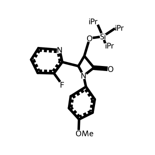 COc1ccc(N2C(=O)C(O[Si](C(C)C)(C(C)C)C(C)C)C2c2ncccc2F)cc1